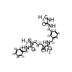 CNC(=O)NCc1cccc(CNC(=O)N(C)CCCN(C)C(=O)NCc2ccccc2)c1